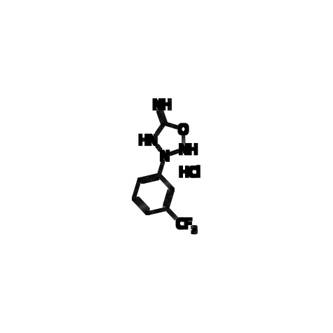 Cl.N=C1NN(c2cccc(C(F)(F)F)c2)NO1